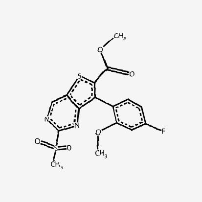 COC(=O)c1sc2cnc(S(C)(=O)=O)nc2c1-c1ccc(F)cc1OC